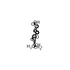 C[Si](C)(C)CCOCN1C(=O)CCN(c2cccc3c2ccn3[C@@H]2CCCN(C(=O)O)C2)C1=O